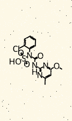 COc1cc(C)nc(NC(=O)N(c2ccccc2Cl)S(=O)(=O)O)n1